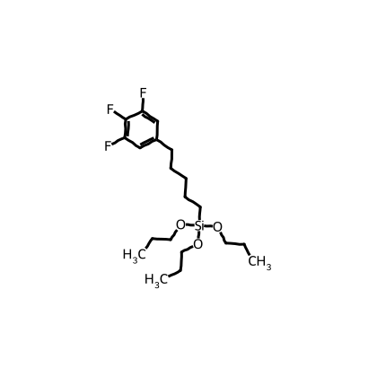 CCCO[Si](CCCCCc1cc(F)c(F)c(F)c1)(OCCC)OCCC